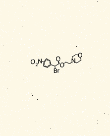 O=C(OCCN1CCOCC1)C(Br)c1ccc([N+](=O)[O-])cc1